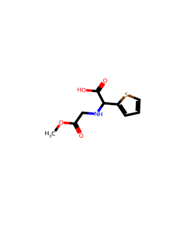 COC(=O)CNC(C(=O)O)c1cccs1